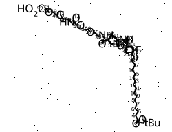 CC(C)(C)OC(=O)CCCCCCCCCCCCCCCOc1ccc(S(=O)(=O)Nc2ccc(C(=O)NCCOCCOCC(=O)NCCOCCOCC(=O)O)cn2)cc1F